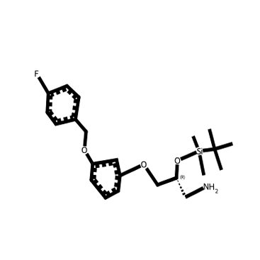 CC(C)(C)[Si](C)(C)O[C@H](CN)COc1cccc(OCc2ccc(F)cc2)c1